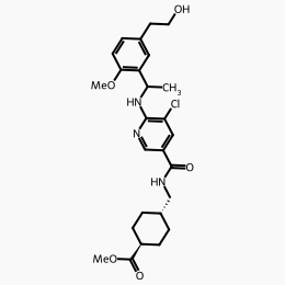 COc1ccc(CCO)cc1C(C)Nc1ncc(C(=O)NC[C@H]2CC[C@H](C(=O)OC)CC2)cc1Cl